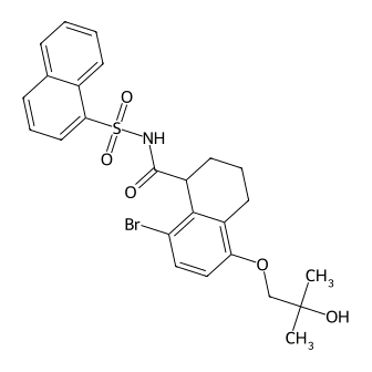 CC(C)(O)COc1ccc(Br)c2c1CCCC2C(=O)NS(=O)(=O)c1cccc2ccccc12